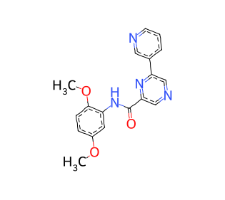 COc1ccc(OC)c(NC(=O)c2cncc(-c3cccnc3)n2)c1